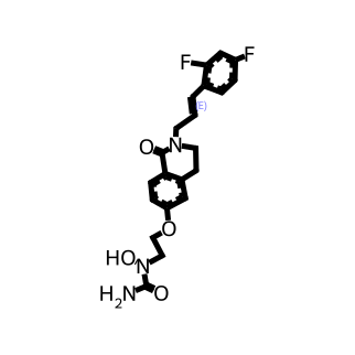 NC(=O)N(O)CCOc1ccc2c(c1)CCN(C/C=C/c1ccc(F)cc1F)C2=O